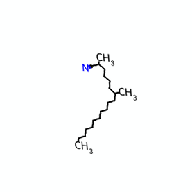 CCCCCCCCCCCC(C)CCCCC(C)C#N